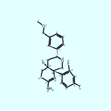 COCc1cccc([C@H]2C[C@H]3CSC(N)=N[C@@]3(c3ccc(F)cc3F)CO2)c1